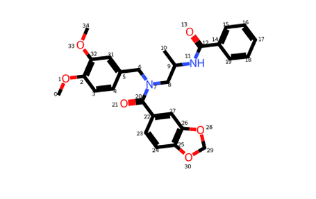 COc1ccc(CN(CC(C)NC(=O)c2ccccc2)C(=O)c2ccc3c(c2)OCO3)cc1OC